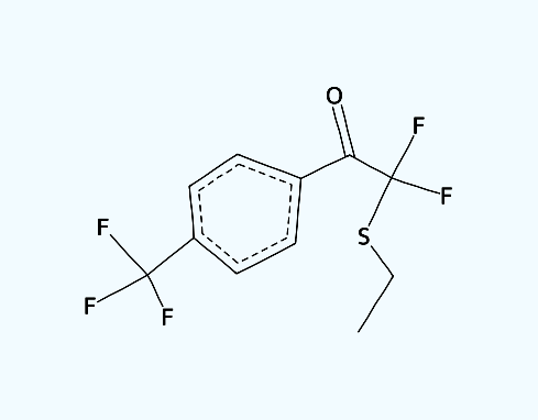 CCSC(F)(F)C(=O)c1ccc(C(F)(F)F)cc1